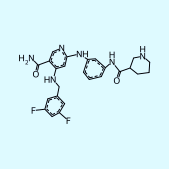 NC(=O)c1cnc(Nc2cccc(NC(=O)C3CCCNC3)c2)cc1NCc1cc(F)cc(F)c1